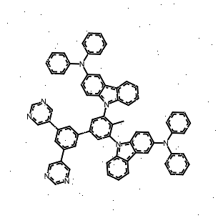 Cc1c(-n2c3ccccc3c3cc(N(c4ccccc4)c4ccccc4)ccc32)cc(-c2cc(-c3cncnc3)cc(-c3cncnc3)c2)cc1-n1c2ccccc2c2cc(N(c3ccccc3)c3ccccc3)ccc21